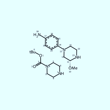 CC(C)(C)OC(=O)N1CCNCC1.CO[C@@H]1CN(c2ccc(N)cc2)CCN1